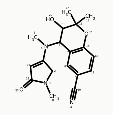 CN1CC(N(C)C2c3cc(C#N)ccc3OC(C)(C)C2O)=CC1=O